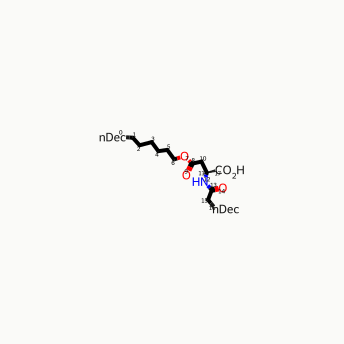 CCCCCCCCCCCCCCCCOC(=O)C[C@H](NC(=O)CCCCCCCCCCC)C(=O)O